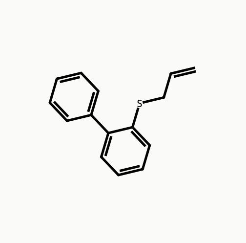 C=CCSc1ccccc1-c1ccccc1